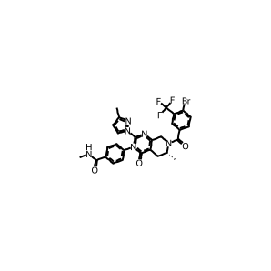 CNC(=O)c1ccc(-n2c(-n3ccc(C)n3)nc3c(c2=O)C[C@@H](C)N(C(=O)c2ccc(Br)c(C(F)(F)F)c2)C3)cc1